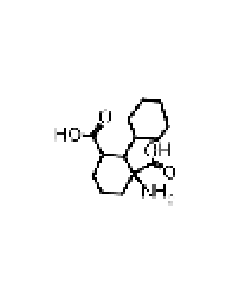 NC1(C(=O)O)CCCC(C(=O)O)C1C1CCCCC1